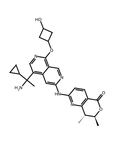 C[C@@H]1OC(=O)c2ccc(Nc3cc4c(C(C)(N)C5CC5)cnc(OC5CC(O)C5)c4cn3)nc2[C@H]1C